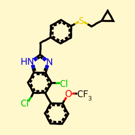 FC(F)(F)Oc1ccccc1-c1c(Cl)cc2[nH]c(Cc3ccc(SCC4CC4)cc3)nc2c1Cl